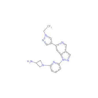 NC1CN(c2cccc(-n3ncc4cnc(-c5cnn(CC(F)(F)F)c5)cc43)n2)C1